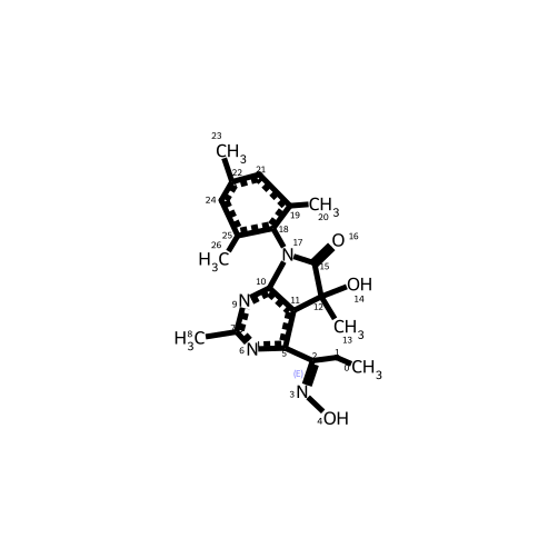 CC/C(=N\O)c1nc(C)nc2c1C(C)(O)C(=O)N2c1c(C)cc(C)cc1C